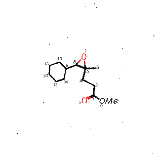 COC(=O)CCC1(C)OC1C1CCCCC1